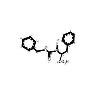 O=C(O)[C@H](Cc1ccccc1)N(F)C(=O)OCc1ccccc1